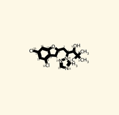 CC(C)(C)C(O)C(CC1Cc2c(Cl)cc(Cl)cc2O1)n1cncn1